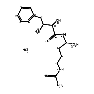 Cl.N=C(N)NCCC[C@H](NC(=O)C(O)C(N)Cc1ccccc1)C(=O)O